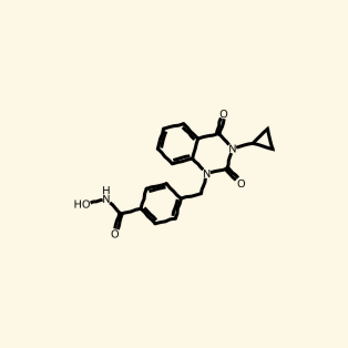 O=C(NO)c1ccc(Cn2c(=O)n(C3CC3)c(=O)c3ccccc32)cc1